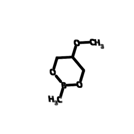 COC1COB(C)OC1